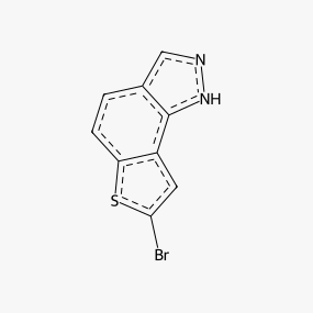 Brc1cc2c(ccc3cn[nH]c32)s1